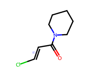 O=C(/C=C/Cl)N1CCCCC1